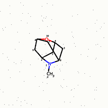 CN1C2CC3CC1CC(C2)O3